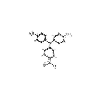 Bc1ccc(N(c2ccc(B)cc2)c2ccc(N(CC)CC)cc2)cc1